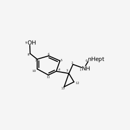 CCCCCCCNCC1(c2ccc(CO)cc2)CC1